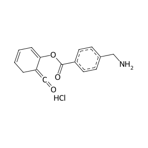 Cl.NCc1ccc(C(=O)OC2=CC=CCC2=C=O)cc1